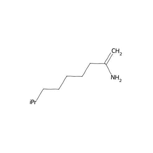 C=C(N)CCCCCC(C)C